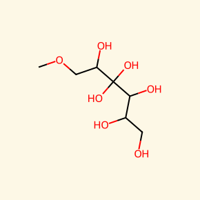 COCC(O)C(O)(O)C(O)C(O)CO